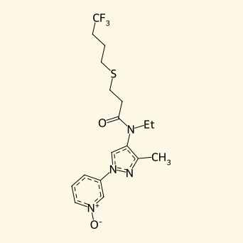 CCN(C(=O)CCSCCCC(F)(F)F)c1cn(-c2ccc[n+]([O-])c2)nc1C